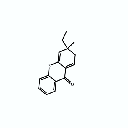 CCC1(C)C=c2sc3ccccc3c(=O)c2=CC1